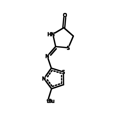 CC(C)(C)c1csc(N=C2NC(=O)CS2)n1